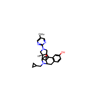 COc1cnc(N2C[C@H]3CC45CCC2C3C42CCN(CC3CC3)C5Cc3ccc(O)cc32)nc1